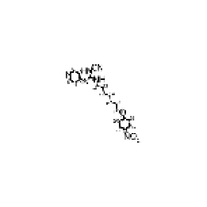 N#CN/C(=N\c1ccncc1)NCCCCCCCOc1ccc([N+](=O)[O-])cc1